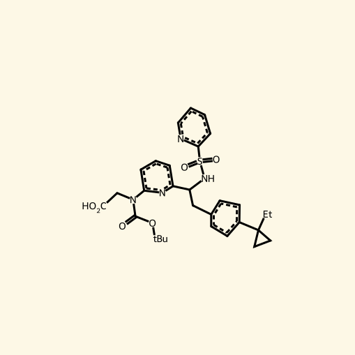 CCC1(c2ccc(CC(NS(=O)(=O)c3ccccn3)c3cccc(N(CC(=O)O)C(=O)OC(C)(C)C)n3)cc2)CC1